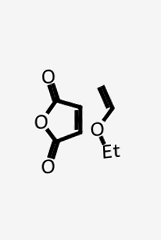 C=COCC.O=C1C=CC(=O)O1